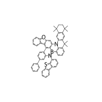 CC1(C)CCC(C)(C)c2cc3c(cc21)N1c2cc4oc5ccccc5c4c4c2B(c2cccc(c21)C3(C)C)N(c1cccc2c1sc1ccccc12)c1cc(-c2ccccc2)ccc1-4